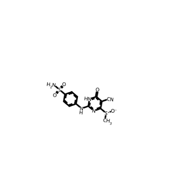 C[S+]([O-])c1nc(Nc2ccc(S(N)(=O)=O)cc2)[nH]c(=O)c1C#N